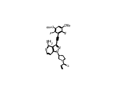 C=CC(=O)N1CCC(n2nc(C#Cc3c(F)c(OC)cc(OC)c3F)c3c(N)nccc32)C1